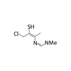 CN/C=N\C(C)=C(\S)CCl